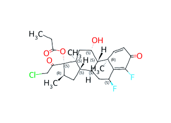 CCC(=O)O[C@@]1(C(=O)CCl)[C@H](C)C[C@H]2[C@@H]3C[C@H](F)C4=C(F)C(=O)C=C[C@]4(C)[C@H]3[C@@H](O)C[C@@]21C